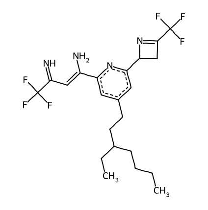 CCCCC(CC)CCc1cc(/C(N)=C/C(=N)C(F)(F)F)nc(C2CC(C(F)(F)F)=N2)c1